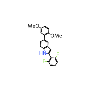 COc1ccc(OC)c(-c2ccc3[nH]c(-c4c(F)cccc4F)cc3c2)c1